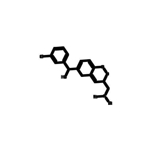 CCN(CC)CC1C=C2CC(C(O)c3cccc(Cl)c3)=CC=C2OO1